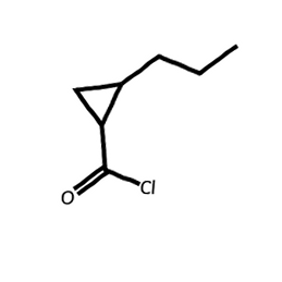 CCCC1CC1C(=O)Cl